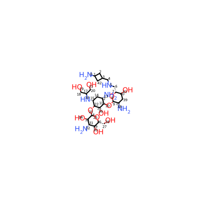 NC1CC(CNC[C@H]2O[C@H](OC3[C@@H](N)C[C@@H](NC(CO)CO)[C@H](O[C@H]4O[C@H](CO)[C@@H](O)[C@H](N)[C@H]4O)[C@H]3O)[C@H](N)C[C@@H]2O)C1